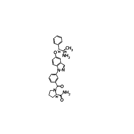 C[C@@H](N)[C@H](Oc1ccc2c(cnn2-c2cccc(C(=O)N3CCC[C@@H]3C(N)=O)c2)c1)c1ccccc1